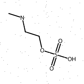 C[N]CCOS(=O)(=O)O